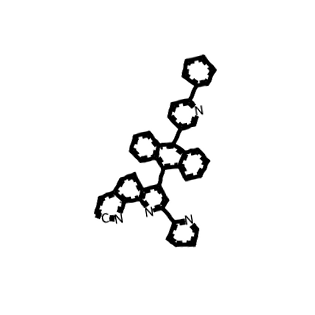 c1ccc(-c2ccc(-c3c4ccccc4c(-c4cc(-c5ccccn5)nc5c4ccc4cccnc45)c4ccccc34)cn2)cc1